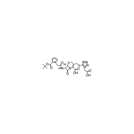 CC(C)(C)OC(=O)c1ccsc1CC(=O)NC1C(=O)N2C(C(=O)O)=C(CSc3nnnn3CC(=O)O)CS[C@H]12